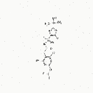 CCc1cc(OC(F)F)cc(C(C)C)c1CC(=O)N[S@@](=N)(=O)c1sc(C(C)(C)O)cc1F